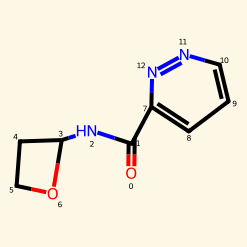 O=C(NC1CCO1)c1cccnn1